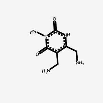 CCCn1c(=O)[nH]c(CN)c(CN)c1=O